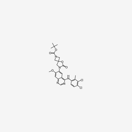 COc1cc2ncnc(Nc3ccc(Cl)c(Cl)c3C)c2cc1N1CC2(CN(C(=O)OC(C)(C)C)C2)OC1=O